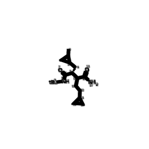 CC1CC1C[C@@H](C(=O)NC(C)(C)C)C(CCC1CC1)C(N)=O